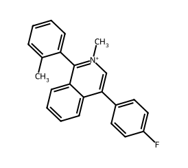 Cc1ccccc1-c1c2ccccc2c(-c2ccc(F)cc2)c[n+]1C